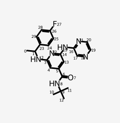 CC(Nc1cc(C(=O)NC(C)(C)C)cc(Nc2cnccn2)n1)c1ccc(F)cc1